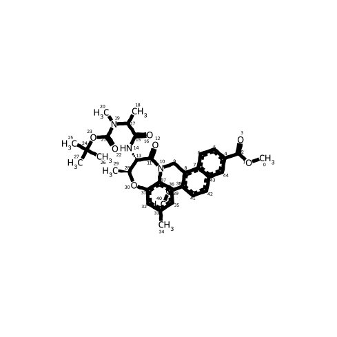 COC(=O)c1ccc2c(CN3C(=O)[C@@H](NC(=O)C(C)N(C)C(=O)OC(C)(C)C)[C@H](C)Oc4cc(C)ccc43)c(OC)ccc2c1